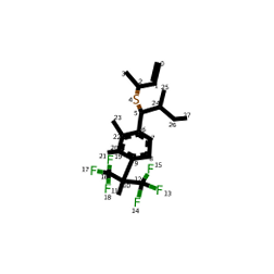 C=CC(C)SC(c1ccc(C(C)(C(F)(F)F)C(F)(F)F)c(C)c1C)C(C)CC